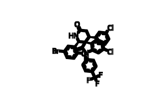 O=C1C[C@@H](c2cccc(Cl)c2)[C@]2(C(=O)Nc3cc(Cl)ccc32)[C@@H](c2cc(Br)ccc2Oc2ccc(C(F)(F)F)cc2)N1